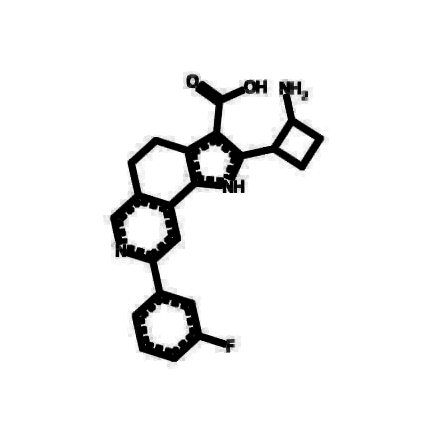 NC1CCC1c1[nH]c2c(c1C(=O)O)CCc1cnc(-c3cccc(F)c3)cc1-2